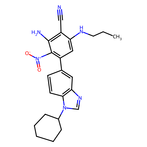 CCCNc1cc(-c2ccc3c(c2)ncn3C2CCCCC2)c([N+](=O)[O-])c(N)c1C#N